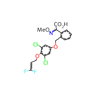 CON=C(C(=O)O)c1ccccc1COc1cc(Cl)c(OCC=C(F)F)c(Cl)c1